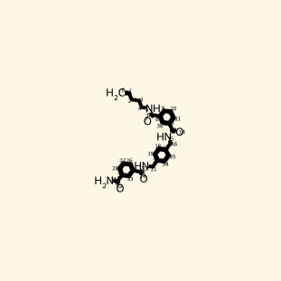 C=CCCCNC(=O)c1cccc(C(=O)NCc2ccc(CNC(=O)c3cccc(C(N)=O)c3)cc2)c1